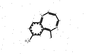 CC1=c2\cc(N)cc\c2=N\C=C/C=N\1